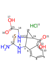 Cl.NC(=S)NC(c1ccccc1)C1(NCC(=O)O)CC1C(=O)O